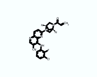 C=CC(=O)N1C[C@@H]2C[C@H]1CN2c1ccc2ncc(C#N)c(Nc3cccc(Cl)c3F)c2n1